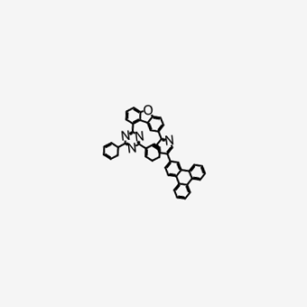 C1#CC(c2nc(-c3cccc4oc5ccc(-c6ccc(-c7ccc8c9ccccc9c9ccccc9c8c7)cn6)cc5c34)nc(C3C=CC=CC3)n2)=CCC1